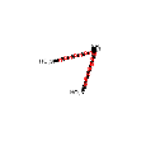 Cc1ccc(OCCOCCOCCOCCOCCOCCOCCCCS(=O)(=O)O)c(OCCOCCOCCOCCOCCOCCOCCCCS(=O)(=O)O)c1